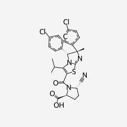 CC(C)C1=C(C(=O)N2[C@H](C#N)CC[C@H]2C(=O)O)SC2=N[C@@](C)(c3ccc(Cl)cc3)[C@@H](c3ccc(Cl)cc3)N21